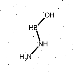 NNBO